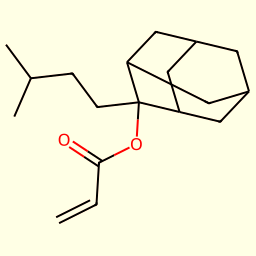 C=CC(=O)OC1(CCC(C)C)C2CC3CC(C2)CC1C3